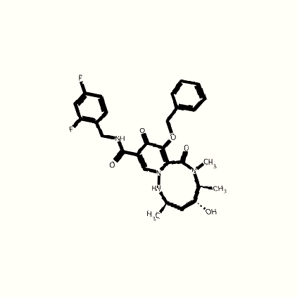 C[C@@H]1C[C@@H](O)[C@H](C)N(C)C(=O)c2c(OCc3ccccc3)c(=O)c(C(=O)NCc3ccc(F)cc3F)cn2N1